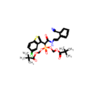 CC(C)(C)C(=O)OCOP(=O)(OCOC(=O)C(C)(C)C)C(C(=O)NC=Cc1ccccc1C#N)c1csc2ccc(Cl)cc12